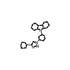 c1ccc(-c2cn(-c3cccc(-n4c5ccccc5c5ccccc54)c3)nn2)cc1